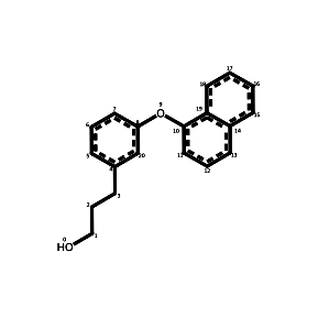 OCCCc1cccc(Oc2cccc3ccccc23)c1